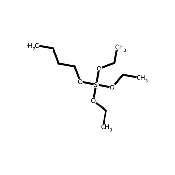 [CH2]CCCO[Si](OCC)(OCC)OCC